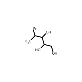 CC(C)C(C)C(O)C(O)CO